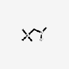 C[S+]([O-])C[N+](C)(C)C